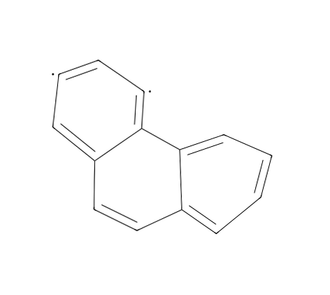 [c]1c[c]c2c(c1)ccc1ccccc12